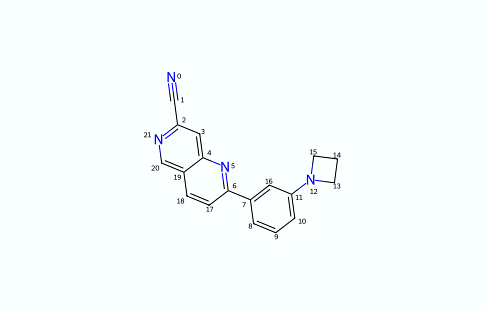 N#Cc1cc2nc(-c3cccc(N4CCC4)c3)ccc2cn1